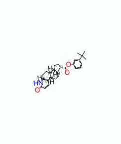 CC(C)(C)c1cccc(OC(=O)[C@H]2CC[C@H]3[C@@H]4CC[C@H]5NC(=O)C=C[C@]5(C)[C@H]4CC[C@]23C)c1